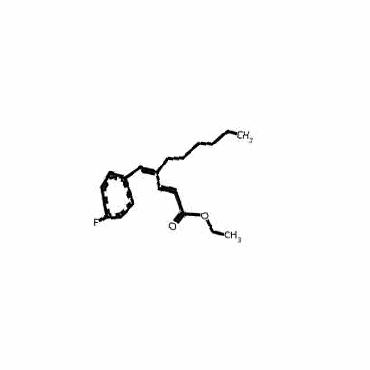 CCCCCCC(C=CC(=O)OCC)=Cc1ccc(F)cc1